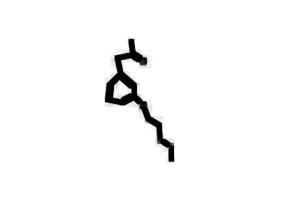 CSSCCOc1cccc(CC(C)=O)c1